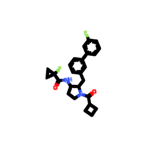 O=C(C1CCC1)N1CCC(NC(=O)C2(F)CC2)C1Cc1cccc(-c2cccc(F)c2)c1